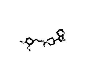 COc1ccc(CCNC(=O)N2CC=C(c3c[nH]c4ncccc34)CC2)cc1OC